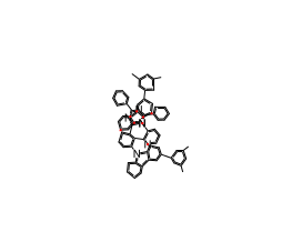 Cc1cc(C)cc(-c2ccc3c(c2)c2ccccc2n3-c2cccnc2-c2c(-c3nc(-c4ccccc4)nc(-c4ccccc4)n3)cccc2-n2c3ccccc3c3cc(-c4cc(C)cc(C)c4)ccc32)c1